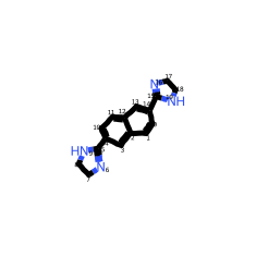 c1cc2cc(C3=NCCN3)ccc2cc1C1=NCCN1